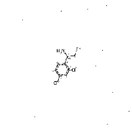 Cl.N[C@@H](CF)c1ccc(Cl)cc1